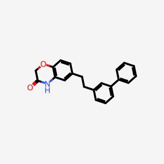 O=C1COc2ccc(CCc3cccc(-c4ccccc4)c3)cc2N1